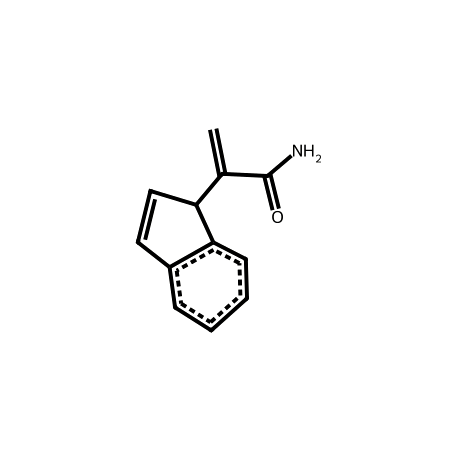 C=C(C(N)=O)C1C=Cc2ccccc21